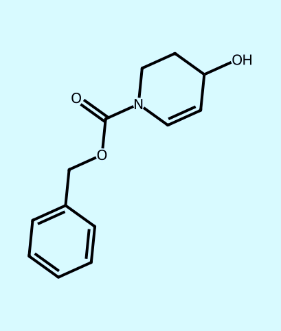 O=C(OCc1ccccc1)N1C=CC(O)CC1